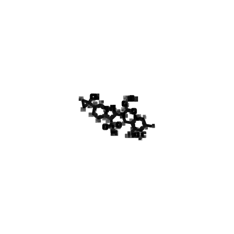 CCOC(=O)c1cc(C)cnc1CN(C(=O)OC(C)(C)C)c1nn2cc(C3(C#N)CC3)ccc2c1S(=O)(=O)CC